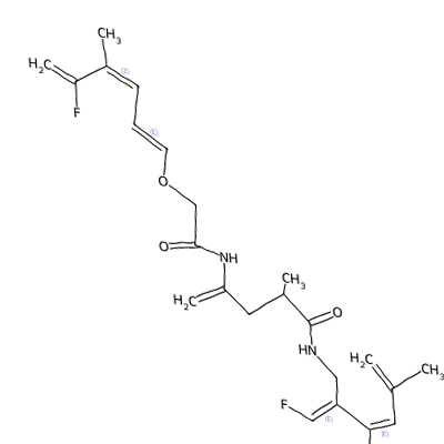 C=C(C)/C=C(F)\C(=C\F)CNC(=O)C(C)CC(=C)NC(=O)CO/C=C/C=C(/C)C(=C)F